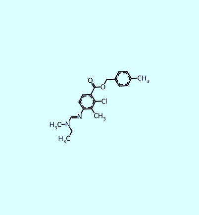 CCN(C)/C=N/c1ccc(C(=O)OCc2ccc(C)cc2)c(Cl)c1C